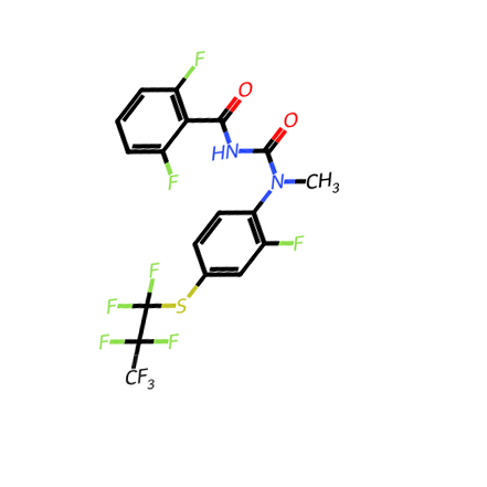 CN(C(=O)NC(=O)c1c(F)cccc1F)c1ccc(SC(F)(F)C(F)(F)C(F)(F)F)cc1F